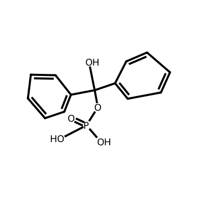 O=P(O)(O)OC(O)(c1ccccc1)c1ccccc1